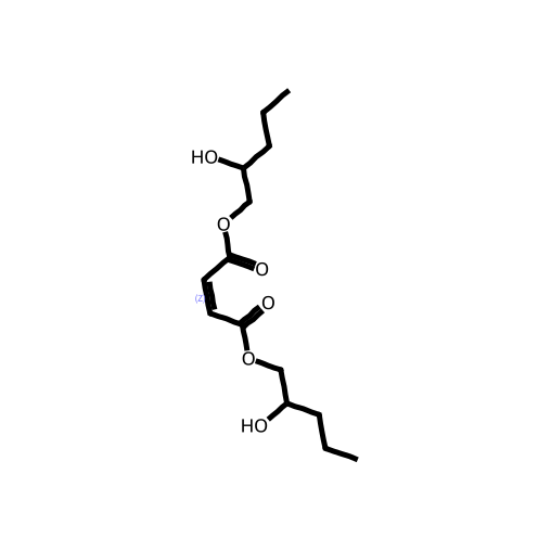 CCCC(O)COC(=O)/C=C\C(=O)OCC(O)CCC